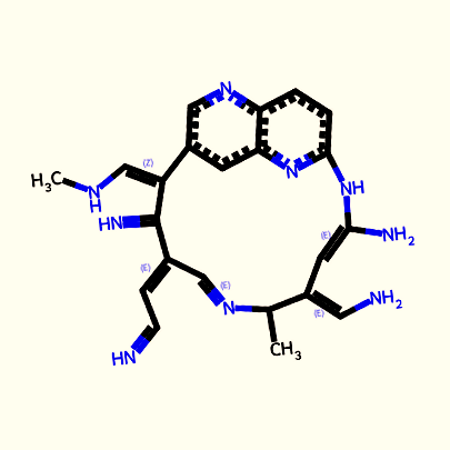 CN/C=C1\C(=N)C(=C/C=N)/C=N/C(C)C(=C/N)/C=C(\N)Nc2ccc3ncc1cc3n2